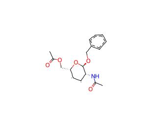 CC(=O)N[C@@H]1[CH][CH][C@H](COC(C)=O)O[C@H]1OCc1ccccc1